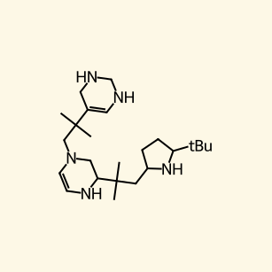 CC(C)(CN1C=CNC(C(C)(C)CC2CCC(C(C)(C)C)N2)C1)C1=CNCNC1